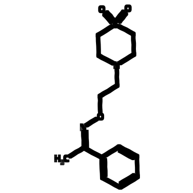 C/C(=N/OCCN1CCS(=O)(=O)CC1)c1ccccc1